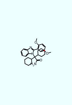 COc1ccc(OC)c(-c2nc3ccccc3n2C(C(N)=O)(C2CCCCC2)C2CCCCC2)c1